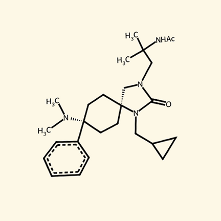 CC(=O)NC(C)(C)CN1C[C@]2(CC[C@@](c3ccccc3)(N(C)C)CC2)N(CC2CC2)C1=O